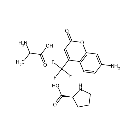 CC(N)C(=O)O.Nc1ccc2c(C(F)(F)F)cc(=O)oc2c1.O=C(O)[C@@H]1CCCN1